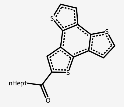 CCCCCCCC(=O)c1cc2c3sccc3c3sccc3c2s1